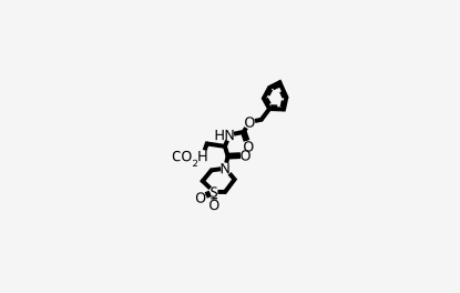 O=C(O)CC(NC(=O)OCc1ccccc1)C(=O)N1CCS(=O)(=O)CC1